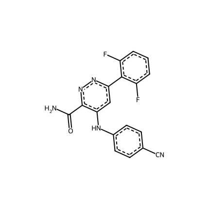 N#Cc1ccc(Nc2cc(-c3c(F)cccc3F)nnc2C(N)=O)cc1